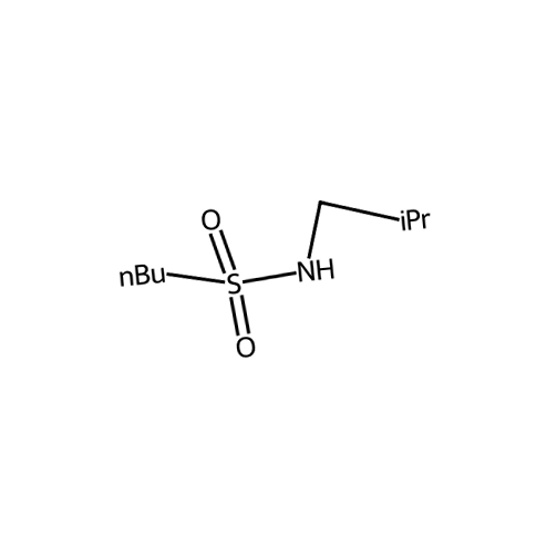 CCCCS(=O)(=O)NCC(C)C